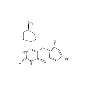 C[C@H]1CC[C@H](c2[nH]c(=O)[nH]c(=O)c2Cc2ccc(Cl)cc2Cl)CC1